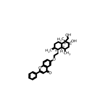 C=C1CCC2[C@@H](C(C)C[C@@H](O)[C@@]2(C)CO)[C@H]1CCOc1ccc2oc(-c3ccccc3)cc(=O)c2c1